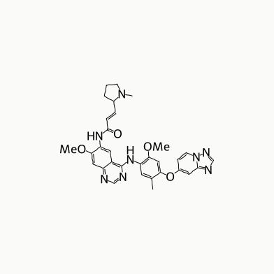 COc1cc2ncnc(Nc3cc(C)c(Oc4ccn5ncnc5c4)cc3OC)c2cc1NC(=O)C=CC1CCCN1C